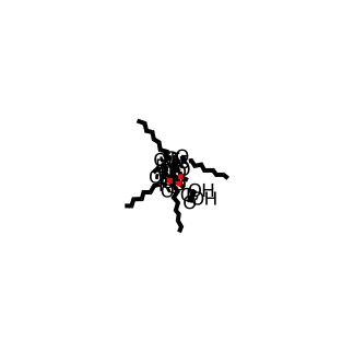 CCCCCCCCS(=O)(=O)N(F)C(OCC)(N(F)S(=O)(=O)CCCCCCCC)C(OCCOP(=O)(O)O)(N(F)S(=O)(=O)CCCCCCCC)[N+](F)(CC)S(=O)(=O)CCCCCCCC